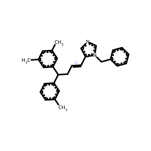 Cc1cccc(C(C/C=C/c2cncn2Cc2ccccc2)c2cc(C)cc(C)c2)c1